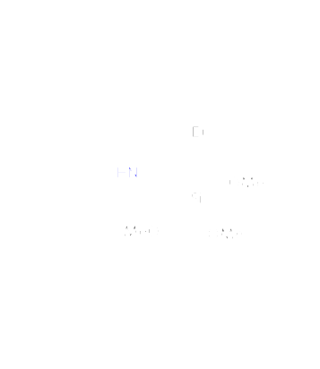 C=CCNC(CC)[Si](OC)(OC)OC